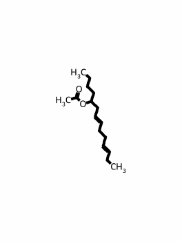 CCC=CCCC=CCC(CCCC)OC(C)=O